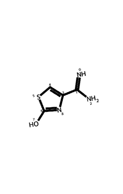 N=C(N)c1csc(O)n1